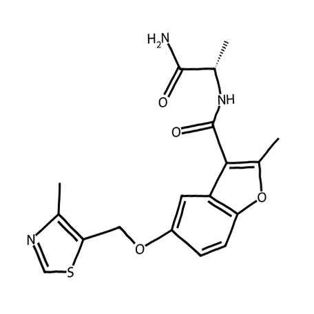 Cc1ncsc1COc1ccc2oc(C)c(C(=O)N[C@@H](C)C(N)=O)c2c1